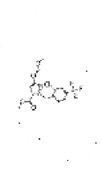 COCOc1cc(C(=O)OC)n(Cc2ccc(C(F)(F)F)cc2Cl)n1